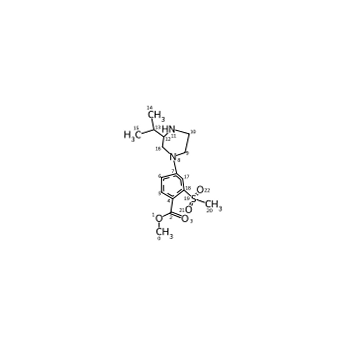 COC(=O)c1ccc(N2CCNC(C(C)C)C2)cc1S(C)(=O)=O